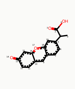 CC(C(=O)O)c1ccc2cc3ccc(=O)cc-3oc2c1